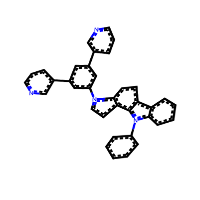 c1ccc(-n2c3ccccc3c3ccc4c(ccn4-c4cc(-c5cccnc5)cc(-c5cccnc5)c4)c32)cc1